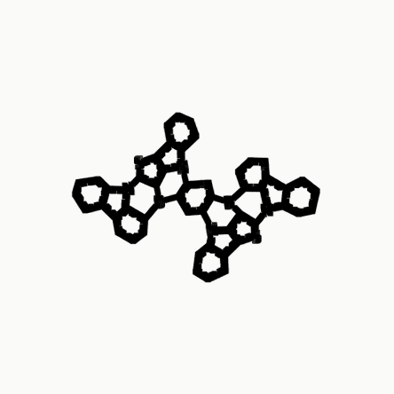 c1ccc2c(c1)c1cccc3c1n2-c1sc2c4ccccc4n4c2c1B3c1cc2c(cc1-4)B1c3cccc4c5ccccc5n(c34)-c3sc4c5ccccc5n-2c4c31